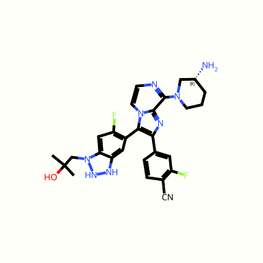 CC(C)(O)CN1NNc2cc(-c3c(-c4ccc(C#N)c(F)c4)nc4c(N5CCC[C@@H](N)C5)nccn34)c(F)cc21